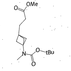 COC(=O)CCC12CC(N(C)C(=O)OC(C)(C)C)(C1)C2